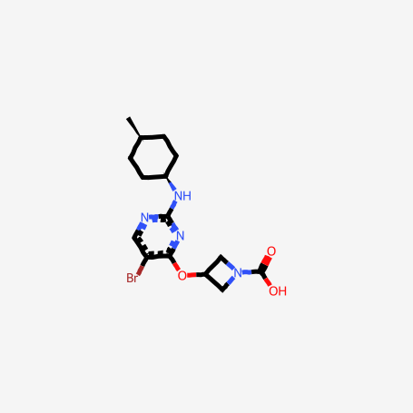 C[C@H]1CC[C@@H](Nc2ncc(Br)c(OC3CN(C(=O)O)C3)n2)CC1